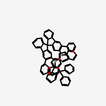 c1ccc(-c2cc3c(cc2N(c2ccccc2)c2ccccc2)C2(c4ccccc4-3)c3ccccc3-c3cc(-c4ccccc4)c(N(c4ccccc4)c4ccc5c(c4)C(c4ccccc4)(c4ccccc4)c4ccccc4-5)cc32)cc1